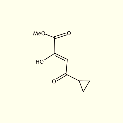 COC(=O)/C(O)=C/C(=O)C1CC1